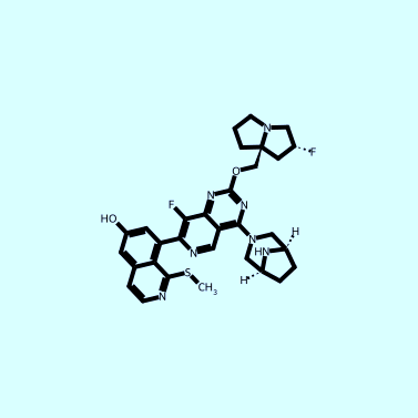 CSc1nccc2cc(O)cc(-c3ncc4c(N5C[C@H]6CC[C@@H](C5)N6)nc(OC[C@@]56CCCN5C[C@H](F)C6)nc4c3F)c12